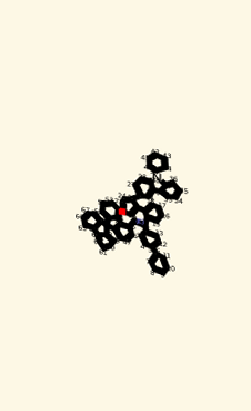 C(=C(/c1ccc(-c2ccccc2)cc1)c1ccccc1-c1ccccc1-c1ccc2c(c1)c1ccccc1n2-c1ccccc1)/c1cccc2c1-c1ccccc1C21c2ccccc2-c2ccccc21